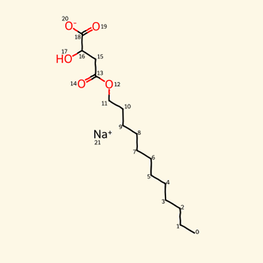 CCCCCCCCCCCCOC(=O)CC(O)C(=O)[O-].[Na+]